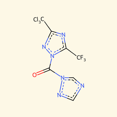 O=C(n1cncn1)n1nc(C(Cl)(Cl)Cl)nc1C(F)(F)F